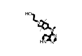 CN(c1ncnc2[nH]ccc12)C1C[C@@]2(C)CN(CCO)C[C@@]2(C)C1